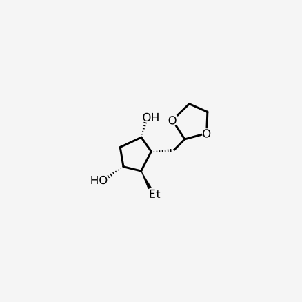 CC[C@@H]1[C@@H](CC2OCCO2)[C@@H](O)C[C@H]1O